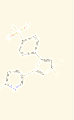 CS(=O)(=O)c1ccc(C2=CC(F)(F)C=C2c2ccc(C(F)(F)F)nc2)cc1